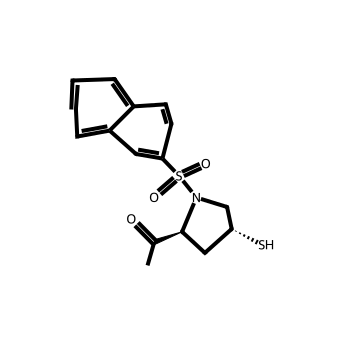 CC(=O)[C@@H]1C[C@@H](S)CN1S(=O)(=O)c1ccc2ccccc2c1